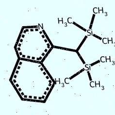 C[Si](C)(C)C(c1nccc2ccccc12)[Si](C)(C)C